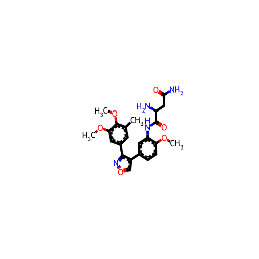 COc1ccc(-c2conc2-c2cc(C)c(OC)c(OC)c2)cc1NC(=O)C(N)CC(N)=O